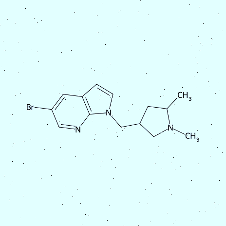 CC1CC(Cn2ccc3cc(Br)cnc32)CN1C